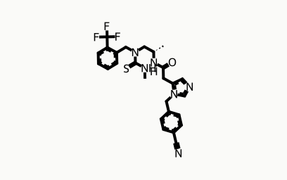 CNC(=S)N(Cc1ccccc1C(F)(F)F)C[C@H](C)NC(=O)Cc1cncn1Cc1ccc(C#N)cc1